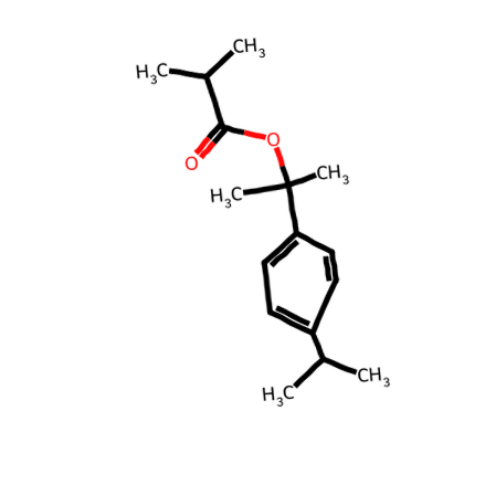 CC(C)C(=O)OC(C)(C)c1ccc(C(C)C)cc1